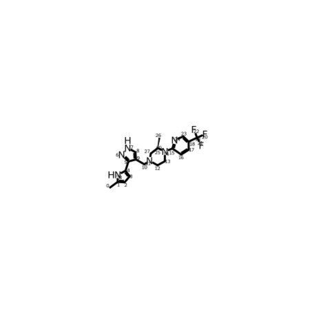 Cc1ccc(-c2n[nH]cc2CN2CCN(c3ccc(C(F)(F)F)cn3)[C@H](C)C2)[nH]1